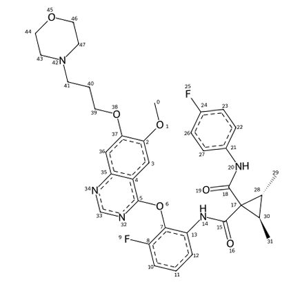 COc1cc2c(Oc3c(F)cccc3NC(=O)C3(C(=O)Nc4ccc(F)cc4)[C@H](C)[C@H]3C)ncnc2cc1OCCCN1CCOCC1